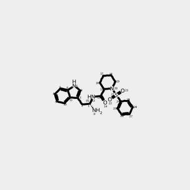 N[C@H](Cc1c[nH]c2ccccc12)NC(=O)C1CCCCN1S(=O)(=O)c1ccccc1